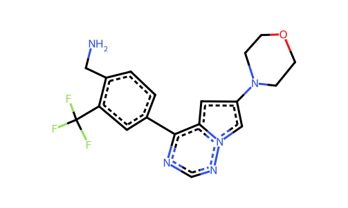 NCc1ccc(-c2ncnn3cc(N4CCOCC4)cc23)cc1C(F)(F)F